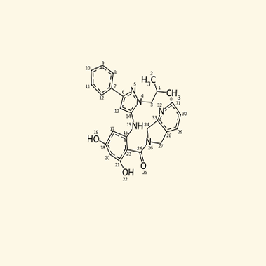 CC(C)Cn1nc(-c2ccccc2)cc1Nc1cc(O)cc(O)c1C(=O)N1Cc2cccnc2C1